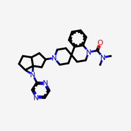 CN(C)C(=O)N1CCC2(CCN(C3CC4CCC5N(c6cnccn6)C45C3)CC2)c2ccccc21